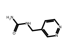 NC(=O)N[CH]c1ccnnc1